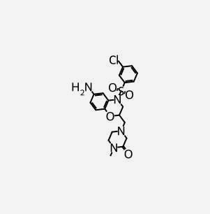 CN1CCN(CC2CN(S(=O)(=O)c3cccc(Cl)c3)c3cc(N)ccc3O2)CC1=O